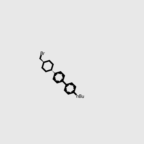 CCCCc1ccc(-c2ccc([C@H]3CC[C@H](CBr)CC3)cc2)cc1